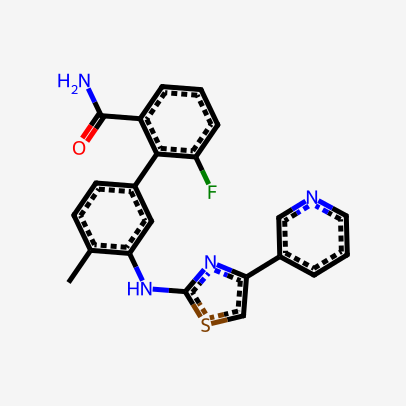 Cc1ccc(-c2c(F)cccc2C(N)=O)cc1Nc1nc(-c2cccnc2)cs1